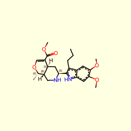 CCCc1c([C@@H]2C[C@@H]3C(C(=O)OC)=CO[C@@H](C)[C@H]3CN2)[nH]c2cc(OC)c(OC)cc12